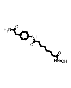 NC(=O)Cc1ccc(NC(=O)CCCCCCC(=O)NO)cc1